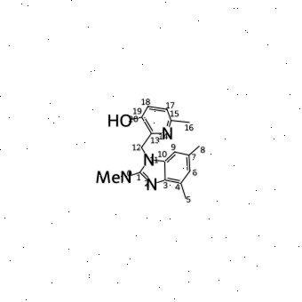 CNc1nc2c(C)cc(C)cc2n1Cc1nc(C)ccc1O